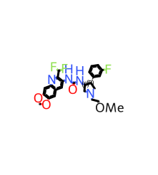 COCCN1C[C@@H](NC(=O)Nc2cc3cc4c(cc3nc2C(F)F)OCO4)[C@H](c2cccc(F)c2)C1